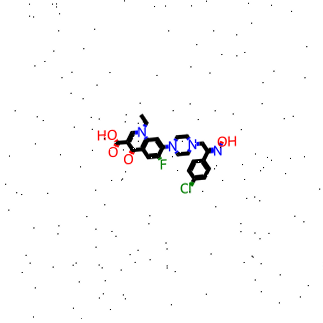 CCn1cc(C(=O)O)c(=O)c2cc(F)c(N3CCN(C/C(=N\O)c4ccc(Cl)cc4)CC3)cc21